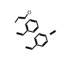 C=C.C=Cc1ccccc1.C=Cc1ccccc1.CC=CCl